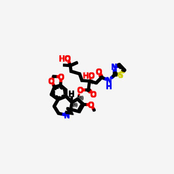 COC1=C[C@]23CCCN2CCc2cc4c(cc2[C@@H]3[C@@H]1OC(=O)[C@@](O)(CCCC(C)(C)O)CC(=O)Nc1nccs1)OCO4